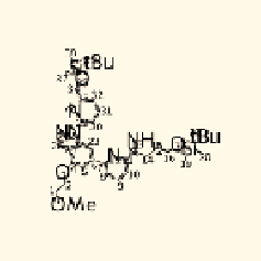 COCCOc1cc(-c2cccc([C@@H](N)CCCO[Si](C)(C)C(C)(C)C)n2)cc2c1cnn2-c1cccc(CO[Si](C)(C)C(C)(C)C)n1